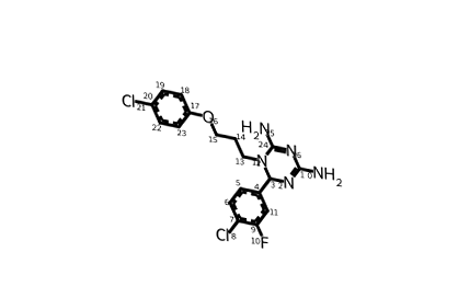 NC1=NC(c2ccc(Cl)c(F)c2)N(CCCOc2ccc(Cl)cc2)C(N)=N1